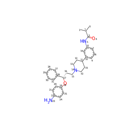 CC(C)C(=O)Nc1cccc(C2CCN(CC[C@H](Oc3ccc(N)cc3)c3ccccc3)CC2)c1